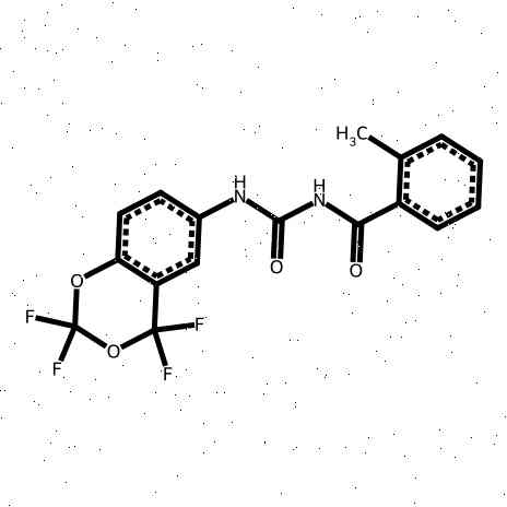 Cc1ccccc1C(=O)NC(=O)Nc1ccc2c(c1)C(F)(F)OC(F)(F)O2